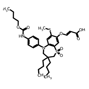 CCCCOC(=O)Nc1ccc(N2CC(CCCC)(CCCC)CS(=O)(=O)c3cc(OC=CC(=O)O)c(SC)cc32)cc1